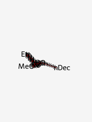 CCCCCCCCCCCCCCCCCCCCCCOc1ccc(S(=O)(=O)c2cc(N3CCC(N4CCN(C5CCN(CC)CC5)CC4)CC3)c3cc(OC)ccc3n2)cc1